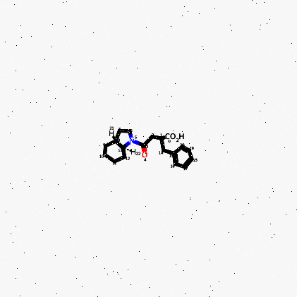 O=C(O)C(CC(=O)N1CC[C@H]2CCCC[C@@H]21)Cc1ccccc1